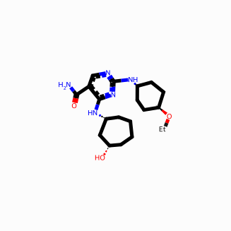 CCO[C@H]1CC[C@H](Nc2ncc(C(N)=O)c(N[C@@H]3CCCC[C@H](O)C3)n2)CC1